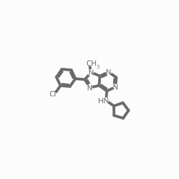 Cn1c(-c2cccc(Cl)c2)nc2c(NC3CCCC3)ncnc21